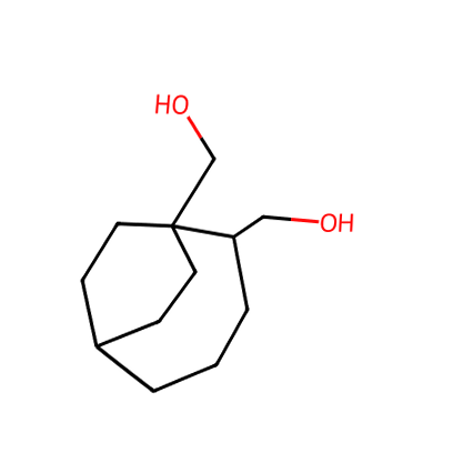 OCC1CCCC2CCC1(CO)CC2